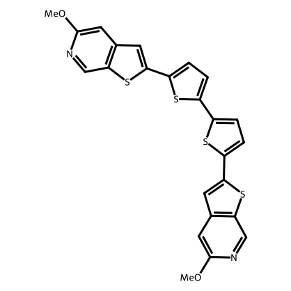 COc1cc2cc(-c3ccc(-c4ccc(-c5cc6cc(OC)ncc6s5)s4)s3)sc2cn1